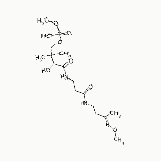 CO/N=C(\C)CCNC(=O)CCNC(=O)[C@H](O)C(C)(C)COP(=O)(O)OC